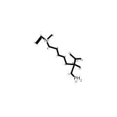 C=CN(C)CCCCCC(C)(CP)C(C)C